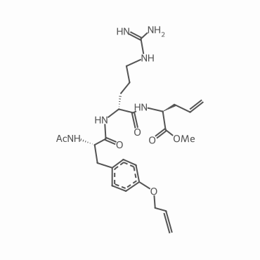 C=CCOc1ccc(C[C@H](NC(C)=O)C(=O)N[C@H](CCCNC(=N)N)C(=O)N[C@@H](CC=C)C(=O)OC)cc1